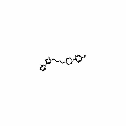 Fc1cnc(N2CCN(CCCCn3cc(-n4cccc4)cn3)CC2)nc1